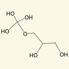 OCC(O)COC(O)(O)O